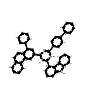 c1ccc(-c2ccc(-c3nc(-c4cc(-c5ccccc5)c5ccc6ccccc6c5c4)nc(-c4cccc5oc6ccccc6c45)n3)cc2)cc1